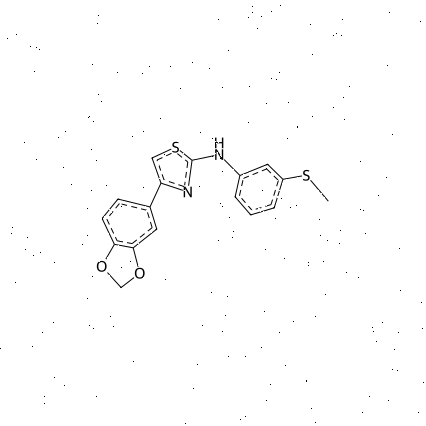 CSc1cccc(Nc2nc(-c3ccc4c(c3)OCO4)cs2)c1